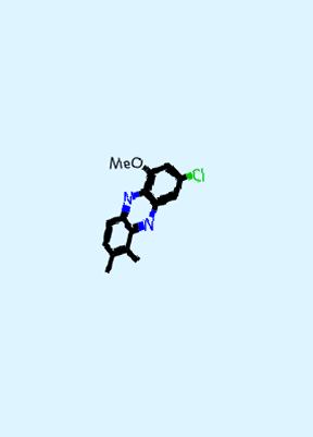 COc1cc(Cl)cc2nc3c(C)c(C)ccc3nc12